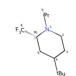 CC(C)N1CCC(C(C)(C)C)C[C@@H]1C(F)(F)F